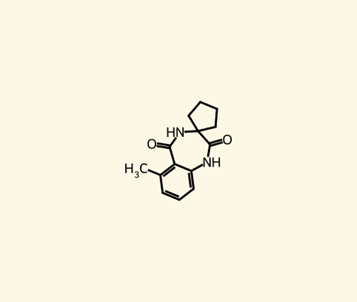 Cc1cccc2c1C(=O)NC1(CCCC1)C(=O)N2